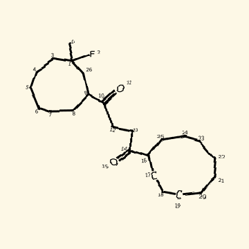 CC1(F)CCCCCCC(C(=O)CCC(=O)C2CCCCCCCCC2)C1